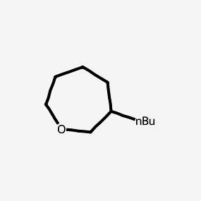 CCCCC1CCCCOC1